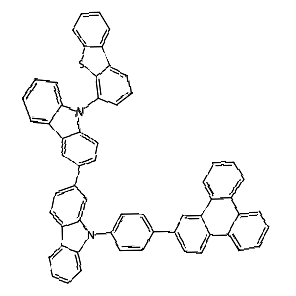 c1ccc2c(c1)sc1c(-n3c4ccccc4c4cc(-c5ccc6c7ccccc7n(-c7ccc(-c8ccc9c%10ccccc%10c%10ccccc%10c9c8)cc7)c6c5)ccc43)cccc12